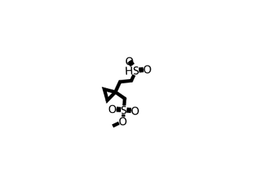 COS(=O)(=O)CC1(CC[SH](=O)=O)CC1